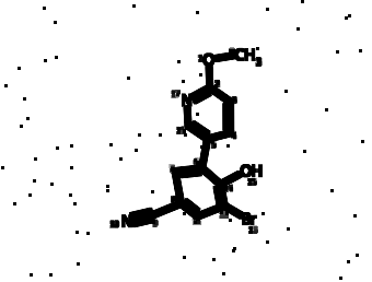 COc1ccc(-c2cc(C#N)cc(Br)c2O)cn1